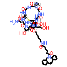 CC[C@H](C)[C@@H]1NC(=O)CNC(=O)[C@H]2Cc3c([nH]c4cc(OCCCCCCNC(=O)CCCCC(=O)N5Cc6ccccc6C#Cc6ccccc65)ccc34)SC[C@H](NC(=O)CNC1=O)C(=O)N[C@@H](CC(N)=O)C(=O)N1C[C@H](O)C[C@H]1C(=O)N[C@@H]([C@@H](C)[C@@H](O)CO)C(=O)N2